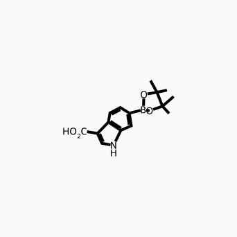 CC1(C)OB(c2ccc3c(C(=O)O)c[nH]c3c2)OC1(C)C